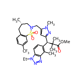 CCn1nnc2c(C)c([C@@H](c3cc(CN4C[C@@H](C)Cc5ccc(C(F)(F)F)cc5S4(=O)=O)n(C)n3)C(C)(C)C(=O)OC)ccc21